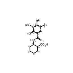 CCCCn1c(CCC)c(CC)cc(C(=O)NC2CCCCC2C(=O)O)c1=O